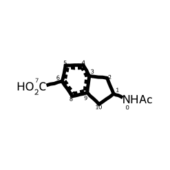 CC(=O)NC1Cc2ccc(C(=O)O)cc2C1